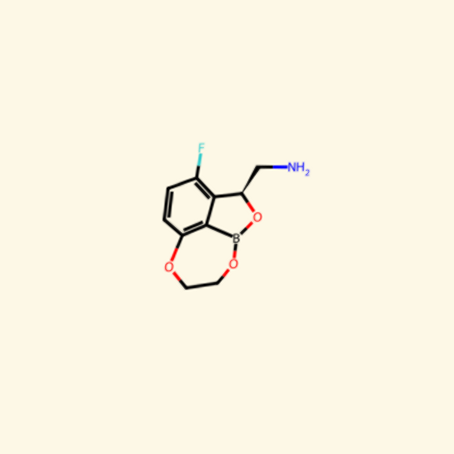 NC[C@H]1OB2OCCOc3ccc(F)c1c32